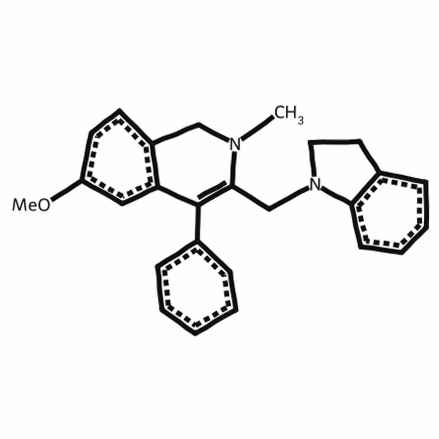 COc1ccc2c(c1)C(c1ccccc1)=C(CN1CCc3ccccc31)N(C)C2